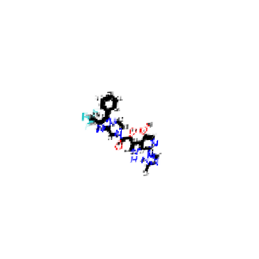 COc1cnc(-n2cnc(C)n2)c2[nH]cc(C(=O)C(=O)N3CCn4c(nc(C(F)(F)F)c4-c4ccccc4)C3)c12